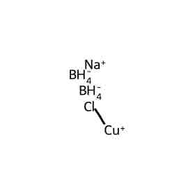 [BH4-].[BH4-].[Cl][Cu+].[Na+]